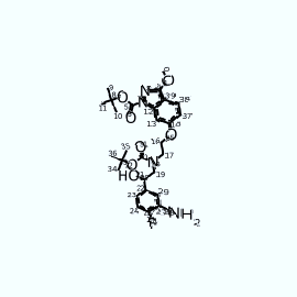 COc1nn(C(=O)OC(C)(C)C)c2cc(OCCN(CC(O)c3ccc(F)c(N)c3)C(=O)OC(C)(C)C)ccc12